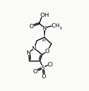 CN(C(=O)O)[C@H]1COc2c(S(=O)(=O)Cl)cnn2C1